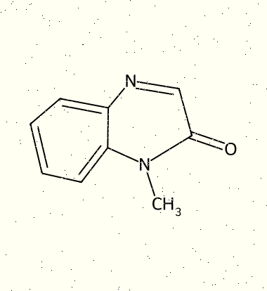 Cn1c(=O)cnc2ccccc21